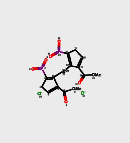 COC(=O)C1=CCC(P(=O)=O)=[C]1[Zr+2][C]1=C(P(=O)=O)CC=C1C(=O)OC.[Cl-].[Cl-]